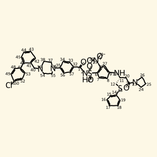 O=C(NS(=O)(=O)c1ccc(N[C@@H](CSc2ccccc2)CC(=O)N2CCC2)cc1[N+](=O)[O-])c1ccc(N2CCN(Cc3ccccc3-c3ccc(Cl)cc3)CC2)cc1